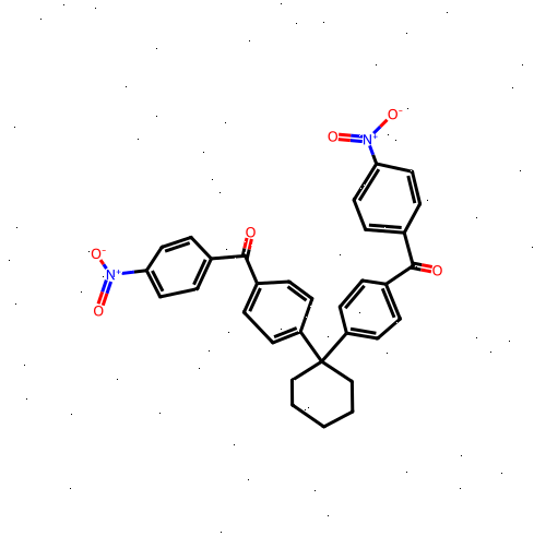 O=C(c1ccc([N+](=O)[O-])cc1)c1ccc(C2(c3ccc(C(=O)c4ccc([N+](=O)[O-])cc4)cc3)CCCCC2)cc1